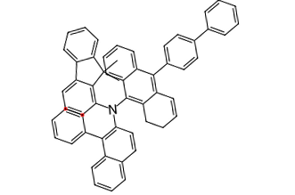 CC1(C)c2ccccc2-c2cccc(N(c3ccc4ccccc4c3-c3ccccc3)c3c4c(c(-c5ccc(-c6ccccc6)cc5)c5ccccc35)C=CCC4)c21